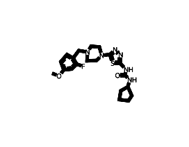 COc1ccc(CN2CCN(c3nnc(NC(=O)NC4CCCC4)s3)CC2)c(F)c1